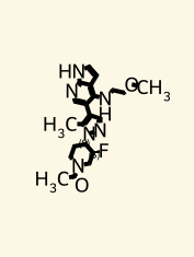 COCCNc1c(-c2cnn([C@H]3CCN(C(C)=O)C[C@@H]3F)c2C)cnc2[nH]ccc12